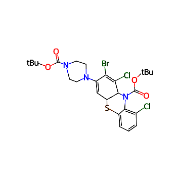 CC(C)(C)OC(=O)N1CCN(C2=CC3Sc4cccc(Cl)c4N(C(=O)OC(C)(C)C)C3C(Cl)=C2Br)CC1